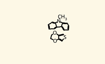 Cn1c2ccccc2c2ccccc21.c1scc2c1OCCO2